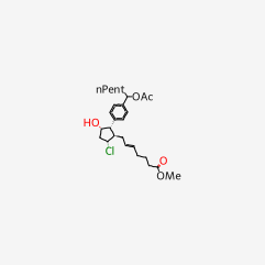 CCCCCC(OC(C)=O)c1ccc([C@@H]2[C@@H](CC=CCCCC(=O)OC)[C@H](Cl)C[C@@H]2O)cc1